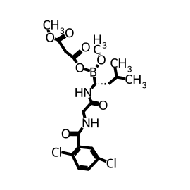 COB(OC(=O)CC(=O)OC)[C@H](CC(C)C)NC(=O)CNC(=O)c1cc(Cl)ccc1Cl